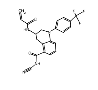 C=CC(=O)NC1Cc2c(C(=O)NC#N)cccc2N(c2ccc(C(F)(F)F)cc2)C1